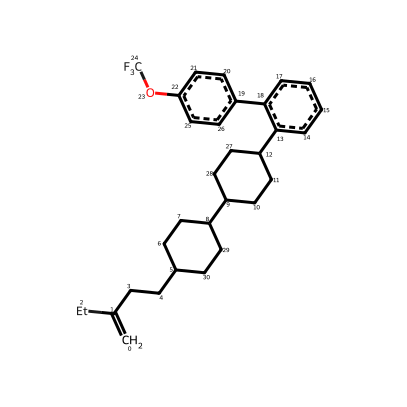 C=C(CC)CCC1CCC(C2CCC(c3ccccc3-c3ccc(OC(F)(F)F)cc3)CC2)CC1